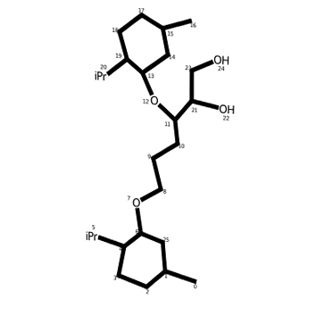 CC1CCC(C(C)C)C(OCCCC(OC2CC(C)CCC2C(C)C)C(O)CO)C1